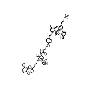 CC1=CC(/C=C/c2ccc(OCCCC(=O)NC(CS(=O)(=O)O)C(=O)NCCCCC(=O)ON3C(=O)CCC3=O)cc2)=[N+]2C1=Cc1c(CCC[N+](C)(C)C)cc(-c3ccc(C)[nH]3)n1[B-]2(F)F